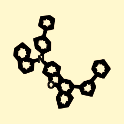 c1ccc(-c2ccc(N(c3ccc4c(c3)oc3c5ccccc5c(-c5cccc(-c6ccccc6)c5)cc43)c3cccc4ccccc34)cc2)cc1